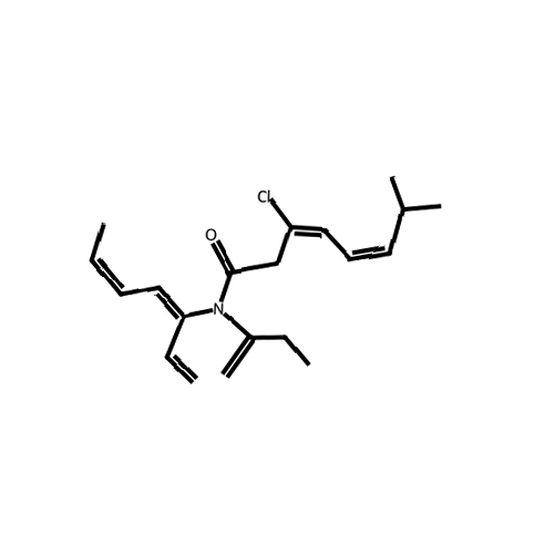 C=C/C(=C\C=C/C)N(C(=C)CC)C(=O)C/C(Cl)=C\C=C/C(C)C